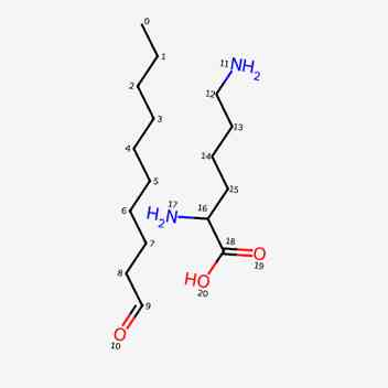 CCCCCCCCCC=O.NCCCCC(N)C(=O)O